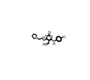 N=Cc1c(NCCN2CCCC2)nc(Cl)nc1Nc1ccc(Cl)cc1